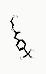 CCCOC(=O)Cc1ccc(C(C)(C)N)cc1